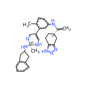 C=C(Nc1ccc(C)c(C2=CN[C@@](C)(NC3Cc4ccccc4C3)N=C2)c1)[C@H]1CCc2[nH]nnc2C1